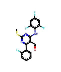 CSc1nc(Nc2c(F)cc(F)cc2F)c(C=O)c(-c2ccccc2F)n1